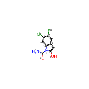 NC(=O)n1c(O)cc2cc(F)c(Cl)cc21